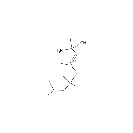 CC(C)=CC(C)(C)C/C(C)=C/C(C)(N)O